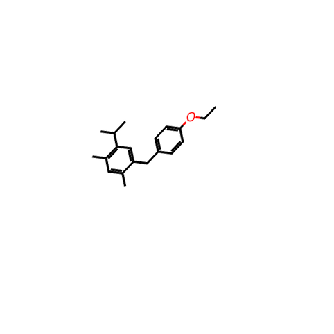 CCOc1ccc(Cc2cc(C(C)C)c(C)cc2C)cc1